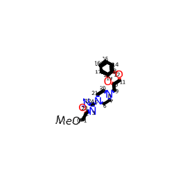 COCc1nc(N2CCN(CC3COc4ccccc4O3)CC2)no1